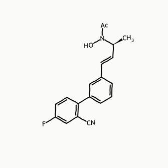 CC(=O)N(O)[C@@H](C)/C=C/c1cccc(-c2ccc(F)cc2C#N)c1